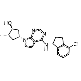 [CH2][C@H]1C[C@@H](n2ccc3c(N[C@@H]4CCc5c(Cl)cccc54)ncnc32)C[C@@H]1O